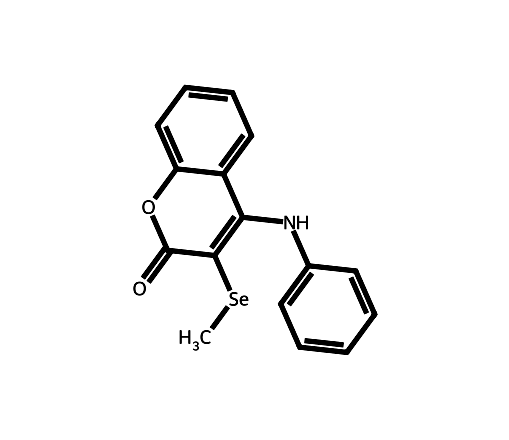 C[Se]c1c(Nc2ccccc2)c2ccccc2oc1=O